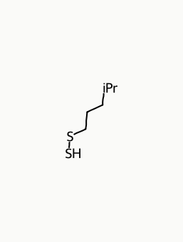 CC(C)CCCSS